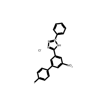 O=[N+]([O-])c1cc(-c2ccc(I)cc2)cc(-c2nn[n+](-c3ccccc3)[nH]2)c1.[Cl-]